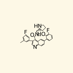 Cc1cc(F)cc(-c2cnc3ccc(-c4cccc(F)c4O)cc3c2C(=O)N(C)C[C@@H]2CCCN2)c1